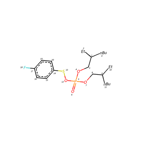 CCCCC(CC)COP(=O)(OCC(CC)CCCC)OSc1ccc(F)cc1